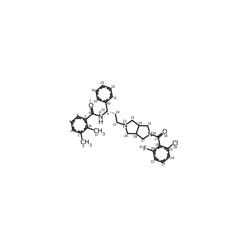 Cc1cccc(C(=O)N[C@@H](CCN2CC3CN(C(=O)c4c(F)cccc4Cl)CC3C2)c2ccccc2)c1C